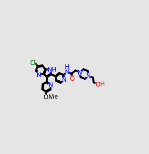 COc1ccc(-c2c(-c3ccnc(NC(=O)CN4CCN(CCO)CC4)c3)[nH]c3cc(Cl)cnc23)nc1